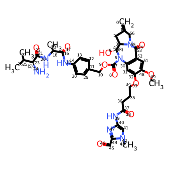 C=C1CC2[C@@H](O)N(C(=O)OCc3ccc(NC(=O)[C@H](C)NC(=O)[C@@H](N)C(C)C)cc3)c3cc(OCCCC(=O)Nc4cn(C)c(C=O)n4)c(OC)cc3C(=O)N2C1